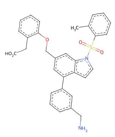 Cc1ccccc1S(=O)(=O)n1ccc2c(-c3cccc(CN)c3)cc(COc3ccccc3CC(=O)O)cc21